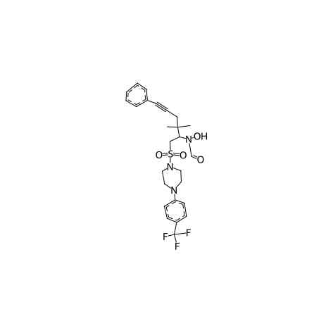 CC(C)(CC#Cc1ccccc1)C(CS(=O)(=O)N1CCN(c2ccc(C(F)(F)F)cc2)CC1)N(O)C=O